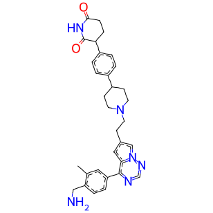 Cc1cc(-c2ncnn3cc(CCN4CCC(c5ccc(C6CCC(=O)NC6=O)cc5)CC4)cc23)ccc1CN